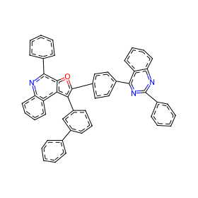 c1ccc(-c2cccc(-c3c(-c4ccc(-c5nc(-c6ccccc6)nc6ccccc56)cc4)oc4c(-c5ccccc5)nc5ccccc5c34)c2)cc1